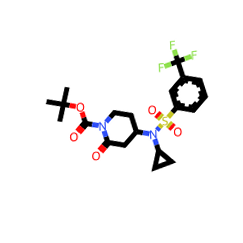 CC(C)(C)OC(=O)N1CCC(N(C2CC2)S(=O)(=O)c2cccc(C(F)(F)F)c2)CC1=O